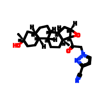 C[C@@]1(O)CC[C@H]2[C@H](CC[C@@H]3[C@@H]2CC[C@@]2(C)[C@H]3C[C@H]3O[C@]32C(=O)Cn2ccc(C#N)n2)C1